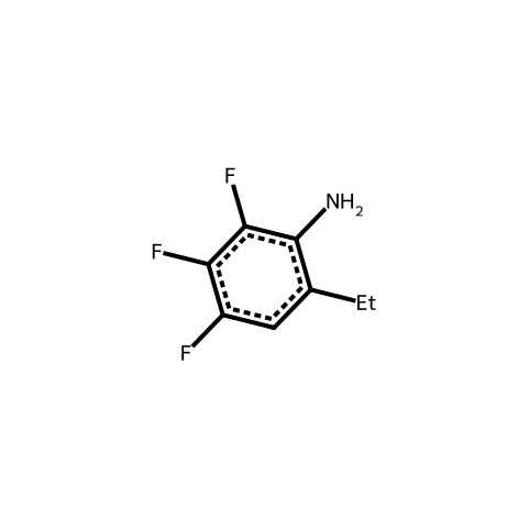 CCc1cc(F)c(F)c(F)c1N